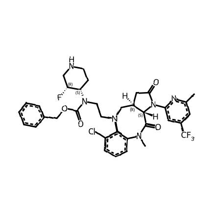 Cc1cc(C(F)(F)F)cc(N2C(=O)C[C@@H]3CN(CCN(C(=O)OCc4ccccc4)[C@H]4CCNC[C@H]4F)c4c(Cl)cccc4N(C)C(=O)[C@H]32)n1